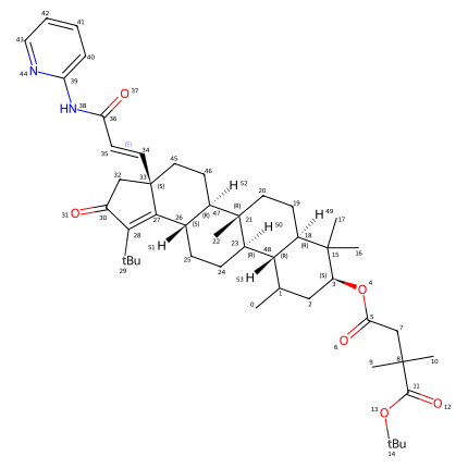 CC1C[C@H](OC(=O)CC(C)(C)C(=O)OC(C)(C)C)C(C)(C)[C@@H]2CC[C@]3(C)[C@H](CC[C@@H]4C5=C(C(C)(C)C)C(=O)C[C@]5(/C=C/C(=O)Nc5ccccn5)CC[C@H]43)[C@@H]12